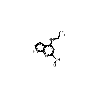 FC(F)(F)CNc1nc(NCl)nc2[nH]ccc12